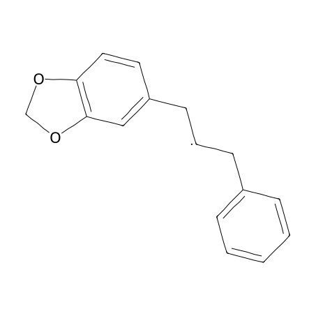 [CH](Cc1ccccc1)Cc1ccc2c(c1)OCO2